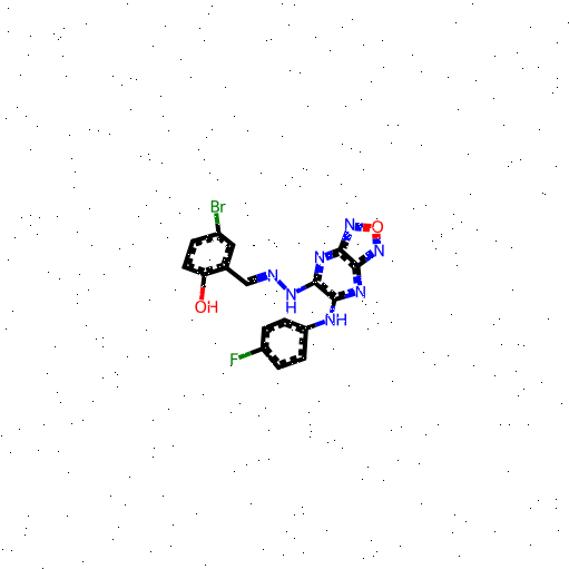 Oc1ccc(Br)cc1/C=N/Nc1nc2nonc2nc1Nc1ccc(F)cc1